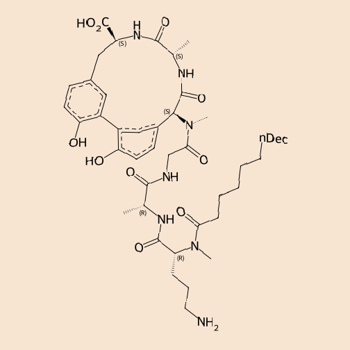 CCCCCCCCCCCCCCCC(=O)N(C)[C@H](CCCN)C(=O)N[C@H](C)C(=O)NCC(=O)N(C)[C@@H]1C(=O)N[C@@H](C)C(=O)N[C@H](C(=O)O)Cc2ccc(O)c(c2)-c2cc1ccc2O